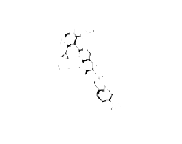 CCC[C@H](C)n1c(=O)c(NCc2ccc([S+]([O-])CC)cn2)nc2cnc(-c3c(O)ncnc3C3CC3)nc21